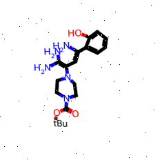 CC(C)(C)OC(=O)N1CCN(C(/C=C(\N)c2ccccc2O)=C(N)N)CC1